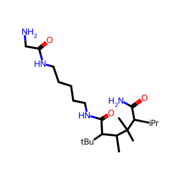 CC(C)C(C(N)=O)C(C)(C)C(C)C(C(=O)NCCCCCNC(=O)CN)C(C)(C)C